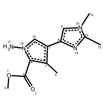 COC(=O)c1c(C)c(-c2cn(C)c(C)n2)cn1N